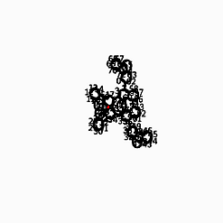 C1=C(c2cc(-c3ccc4oc5ccccc5c4c3)c3oc4c(-c5ccc6oc7ccccc7c6c5)cc(-c5ccc6oc7ccccc7c6c5)c5cccc(c6cccc2c36)c54)CCc2oc3ccccc3c21